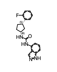 O=C(Nc1cccc2[nH]ncc12)N[C@@H]1CC[C@H](c2ccccc2F)C1